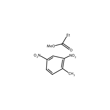 CCC(=O)OC.Cc1ccc([N+](=O)[O-])cc1[N+](=O)[O-]